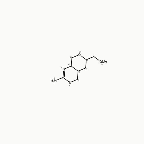 COCC1CC2CSC(N)=NC2CO1